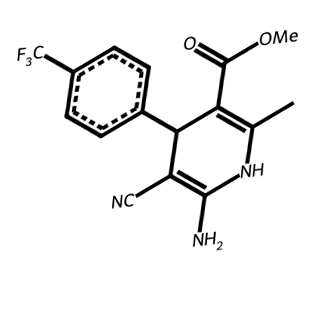 COC(=O)C1=C(C)NC(N)=C(C#N)C1c1ccc(C(F)(F)F)cc1